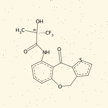 C[C@@](O)(C(=O)Nc1cccc2c1C(=O)c1sccc1CO2)C(F)(F)F